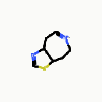 C1=NC2CC=[N+]CCC2S1